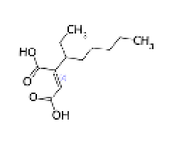 CCCCCC(CC)/C(=C/C(=O)O)C(=O)O